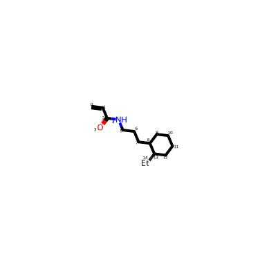 C=CC(=O)NCCCC1CCCCC1CC